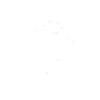 COc1cc(C(=O)N2CCC[C@H]2C)c(NO)cc1OCCC(=O)OCc1ccccc1